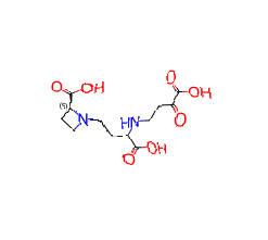 O=C(O)C(=O)CCNC(CCN1CC[C@H]1C(=O)O)C(=O)O